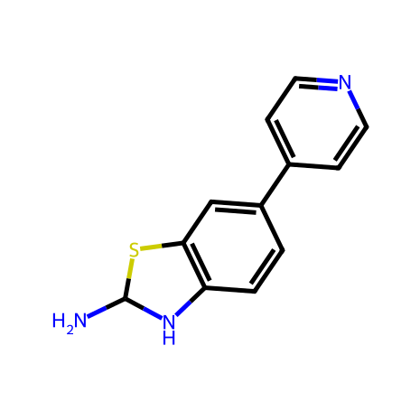 NC1Nc2ccc(-c3ccncc3)cc2S1